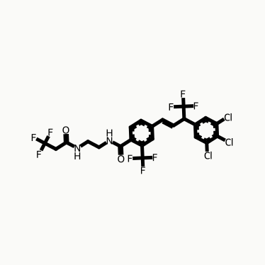 O=C(CC(F)(F)F)NCCNC(=O)c1ccc(/C=C/C(c2cc(Cl)c(Cl)c(Cl)c2)C(F)(F)F)cc1C(F)(F)F